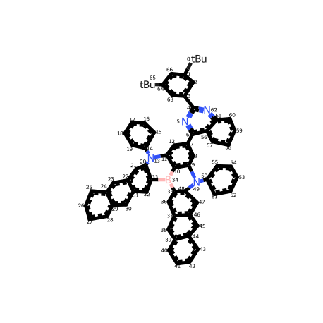 CC(C)(C)c1cc(-c2nc(-c3cc4c5c(c3)N(c3ccccc3)c3cc6cc7ccccc7cc6cc3B5c3cc5cc6ccccc6cc5cc3N4c3ccccc3)c3ccccc3n2)cc(C(C)(C)C)c1